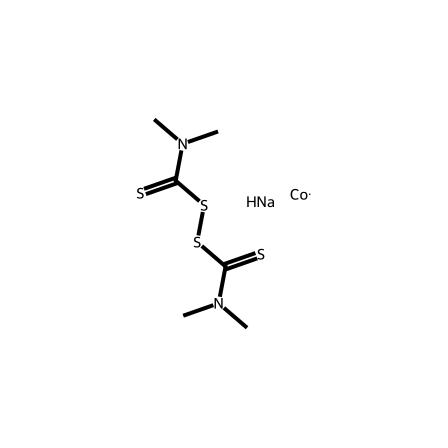 CN(C)C(=S)SSC(=S)N(C)C.[Co].[NaH]